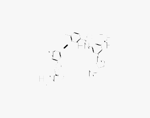 Cc1ccc(C(=O)Nc2cc(N3CC[C@@H](CN(C)C)C3)cc(C(F)(F)F)c2)cc1C#Cc1cncc(OCC(N)=O)c1